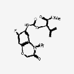 C=C(C)C(OC(=O)Nc1cc2c(cc1F)OCC(=O)N2C(C)C)C(=O)OC